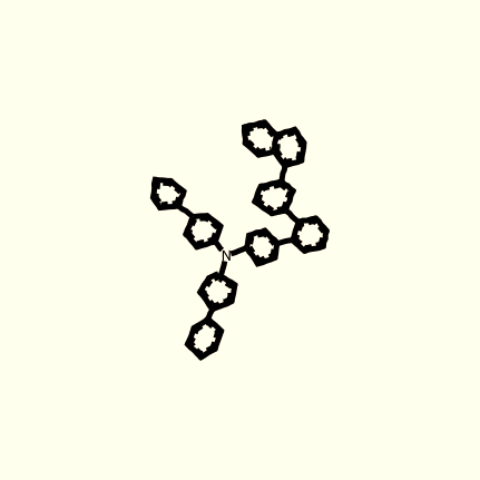 c1ccc(-c2ccc(N(c3ccc(-c4ccccc4)cc3)c3ccc(-c4ccccc4-c4cccc(-c5cccc6ccccc56)c4)cc3)cc2)cc1